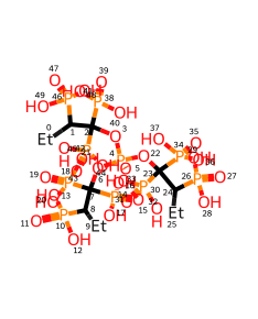 CCC(C(OP(=O)(OC(C(CC)P(=O)(O)O)(P(=O)(O)O)P(=O)(O)O)OC(C(CC)P(=O)(O)O)(P(=O)(O)O)P(=O)(O)O)(P(=O)(O)O)P(=O)(O)O)P(=O)(O)O